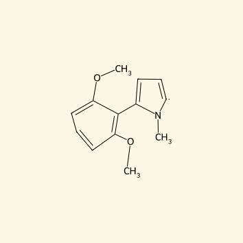 COc1cccc(OC)c1-c1cc[c]n1C